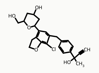 C#CC(C)(O)c1ccc(Cc2cc(C3CC(O)CC(CO)O3)c3c(c2Cl)OCC3)cc1